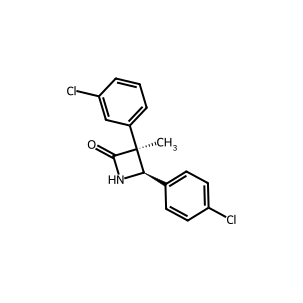 C[C@@]1(c2cccc(Cl)c2)C(=O)N[C@@H]1c1ccc(Cl)cc1